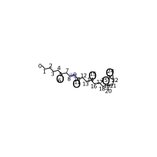 CCCCCC(=O)C/C=C/C(=O)CCC(=O)CCCC1(C)CCC(=O)O1